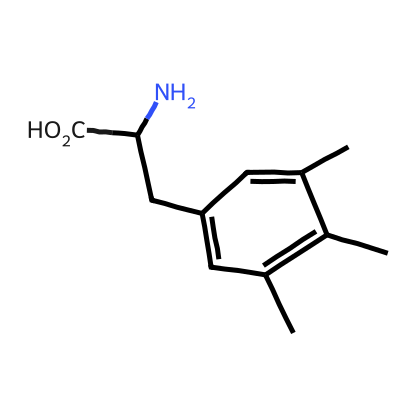 Cc1cc(CC(N)C(=O)O)cc(C)c1C